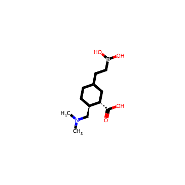 CN(C)C[C@H]1CCC(CCB(O)O)C[C@@H]1C(=O)O